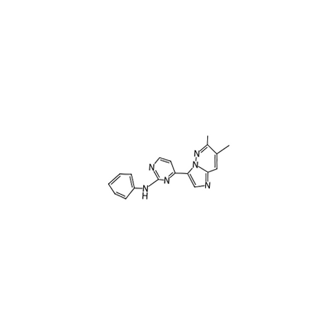 Cc1cc2ncc(-c3ccnc(Nc4ccccc4)n3)n2nc1C